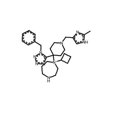 Cc1nc(CN2CCC(c3nnnn3Cc3ccccc3)([N+]3(C4CCC4)CCCNCC3)CC2)c[nH]1